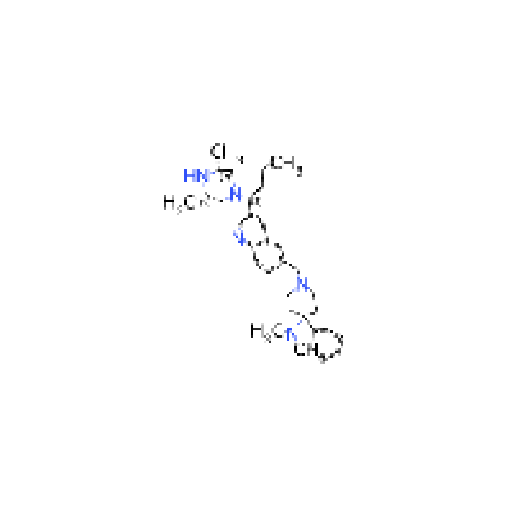 CCC[C@@H](c1cnc2ccc(CN3CCC(c4ccccc4)(N(C)C)CC3)cc2c1)N1C[C@@H](C)N[C@@H](C)C1